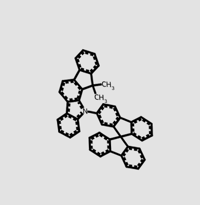 CC1(C)c2ccccc2-c2ccc3c4ccccc4n(-c4ccc5c(c4)C4(c6ccccc6-c6ccccc64)c4ccccc4-5)c3c21